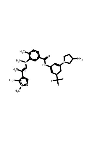 Cc1ccc(C(=O)NC2=CC(C(F)(F)F)CC(N3CCC(N)C3)=C2)cc1N(N)/C=C(\N)c1cnn(C)c1C